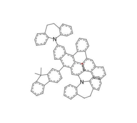 CC1(C)c2ccccc2-c2ccc(-c3c4cc(N5c6ccccc6CCc6ccccc65)ccc4c(-c4ccccc4-c4ccc5ccccc5c4)c4cc(N5c6ccccc6CCc6ccccc65)ccc34)cc21